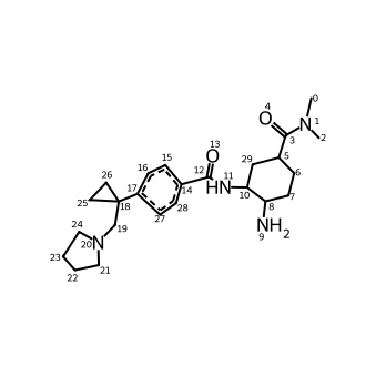 CN(C)C(=O)C1CCC(N)C(NC(=O)c2ccc(C3(CN4CCCC4)CC3)cc2)C1